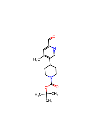 Cc1cc(C=O)ncc1C1CCN(C(=O)OC(C)(C)C)CC1